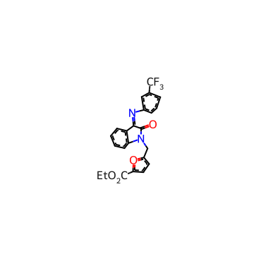 CCOC(=O)c1ccc(CN2C(=O)C(=Nc3cccc(C(F)(F)F)c3)c3ccccc32)o1